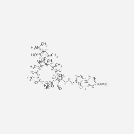 CC[C@H]1OC(=O)[C@H](C)C(=O)[C@H](C)[C@@H](OC2O[C@H](C)C[C@H](N(C)C)[C@H]2O)[C@@](C)(OC)C[C@@H](C)C(=O)[C@H](C)[C@H]2N(CCCCn3cnc(-c4ccc(OC)nc4)c3C)C(=O)O[C@]12C